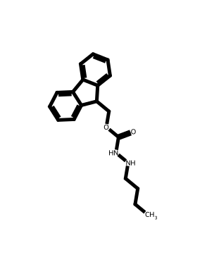 CCCCNNC(=O)OCC1c2ccccc2-c2ccccc21